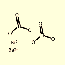 [Ba+2].[Ni+2].[O]=[Ti]([O-])[O-].[O]=[Ti]([O-])[O-]